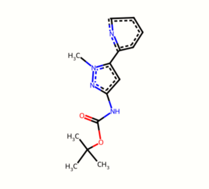 Cn1nc(NC(=O)OC(C)(C)C)cc1-c1ccccn1